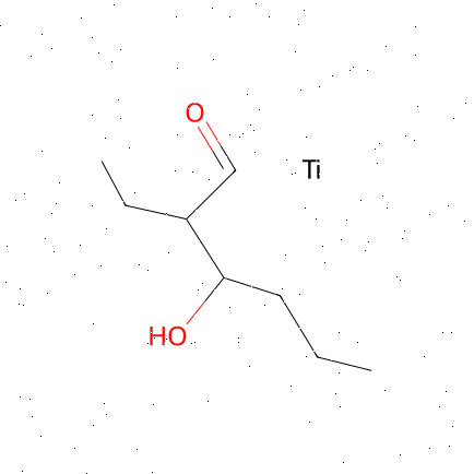 CCCC(O)C(C=O)CC.[Ti]